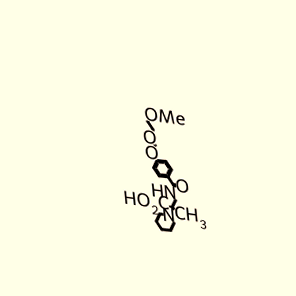 COCCOCOc1ccc(C(=O)NC[C@@](C)(C(=O)O)N2CCCCC2)cc1